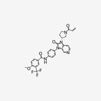 C=CC(=O)N1CC[C@@H](n2c(=O)n(-c3ccc(NC(=O)c4ccc(OC)c(C(F)(F)F)c4)cc3)c3cnccc32)C1